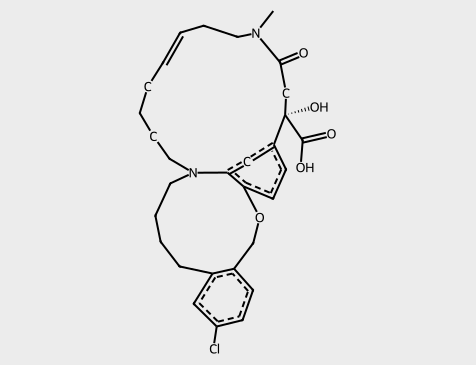 CN1CC/C=C/CCCCN2CCCCc3cc(Cl)ccc3COc3ccc(cc32)[C@](O)(C(=O)O)CC1=O